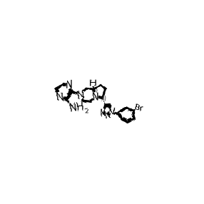 Nc1nccnc1N1CCN2[C@@H](CC[C@@H]2c2cn(-c3cccc(Br)c3)nn2)C1